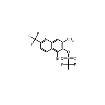 Cc1cc2nc(C(F)(F)F)ccc2c(Br)c1OS(=O)(=O)C(F)(F)F